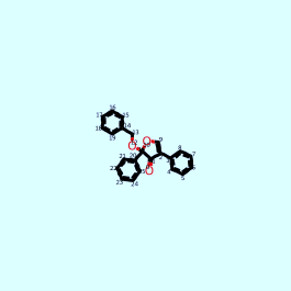 O=C1C(c2ccccc2)=COC1(OCc1ccccc1)c1ccccc1